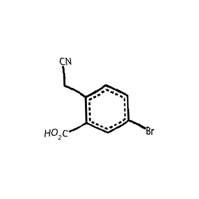 N#CCc1ccc(Br)cc1C(=O)O